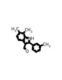 Cc1cccc(-c2[nH]c3c(C)c(C)ccc3c2C=O)c1